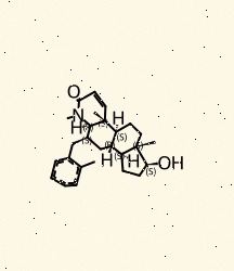 Cc1ccccc1C[C@@H]1C[C@@H]2[C@H](CC[C@]3(C)[C@@H](O)CC[C@@H]23)[C@@]2(C)C=CC(=O)N(C)[C@H]12